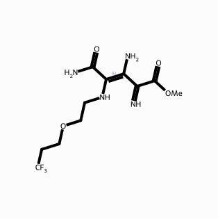 COC(=O)C(=N)/C(N)=C(\NCCOCCC(F)(F)F)C(N)=O